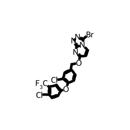 FC(F)(F)c1cc(Oc2ccc(COc3ccn4c(Br)nnc4n3)cc2Cl)ccc1Cl